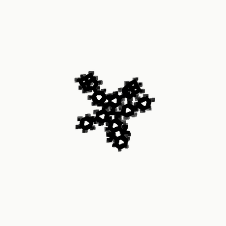 CC1(C)c2ccccc2C(C)(C)c2cc3c(cc21)-c1cc(-c2ccccc2)cc2c1B(c1cc(C45CC6CC7CC(C4)C76C5)cc4c5cc(C67CC8CC9CC(C6)C98C7)ccc5n-2c14)N3c1ccc(-c2ccccc2)cc1